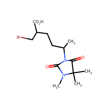 CC(CCC(CBr)C(=O)O)N1C(=O)N(C)C(C)(C)C1=O